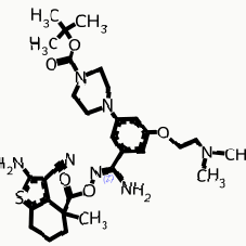 CN(C)CCOc1cc(/C(N)=N/OC(=O)C2(C)CCCc3sc(N)c(C#N)c32)cc(N2CCN(C(=O)OC(C)(C)C)CC2)c1